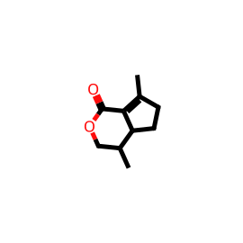 CC1=C2C(=O)OCC(C)C2CC1